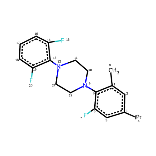 Cc1cc(C(C)C)cc(F)c1N1CCN(c2c(F)cccc2F)CC1